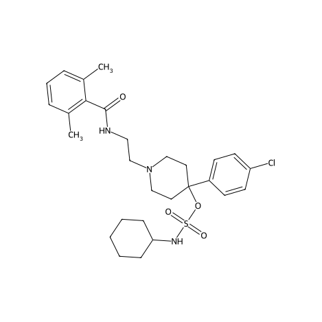 Cc1cccc(C)c1C(=O)NCCN1CCC(OS(=O)(=O)NC2CCCCC2)(c2ccc(Cl)cc2)CC1